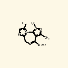 CCCCCC1=NCc2ncc(C)n2-c2c1c(C)nn2C